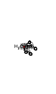 CC(C)C(NC(=O)Cc1cccc(Oc2ccccc2)c1)C(=O)NC(Cc1ccccc1)C(O)CCC(=O)NCc1ccccc1